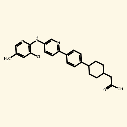 Cc1cnc(Nc2ccc(-c3ccc(C4CCC(CC(=O)O)CC4)cc3)nc2)c(Cl)c1